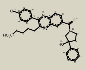 O=C(O)CCCCc1nc2cc(C(=O)N3CCC(O)(c4ccccc4)C3)ccc2nc1-c1ccc(Cl)cc1